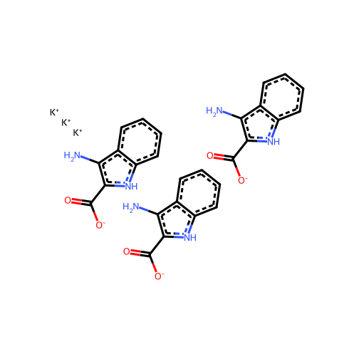 Nc1c(C(=O)[O-])[nH]c2ccccc12.Nc1c(C(=O)[O-])[nH]c2ccccc12.Nc1c(C(=O)[O-])[nH]c2ccccc12.[K+].[K+].[K+]